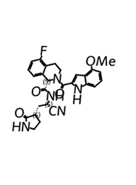 COc1cccc2[nH]c(C(=O)N3CCc4c(F)cccc4[C@H]3C(=O)N[C@H](C#N)C[C@@H]3CCNC3=O)cc12